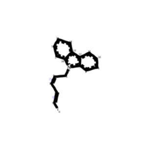 I/C=C/C=C\Cn1c2ccccc2c2ccccc21